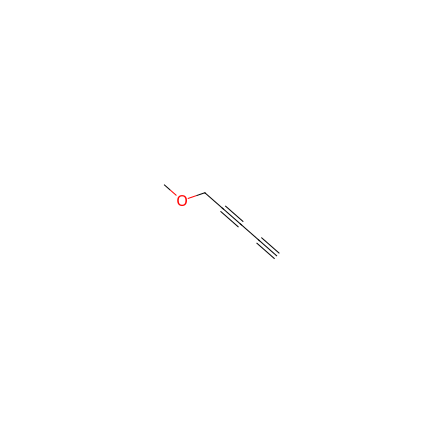 C#CC#CCOC